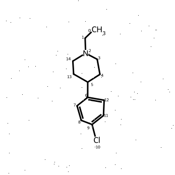 CCN1CCC(c2ccc(Cl)cc2)CC1